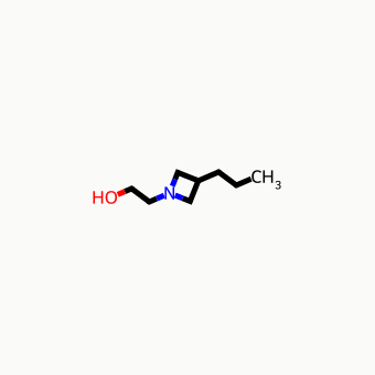 CCCC1CN(CCO)C1